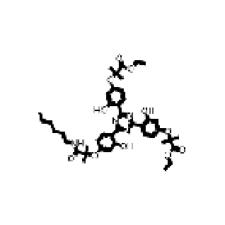 CCCCCCNC(=O)C(C)(C)Oc1ccc(-c2nc(-c3ccc(OC(C)(C)C(=O)OCC)cc3O)nc(-c3ccc(OC(C)(C)C(=O)OCC)cc3O)n2)c(O)c1